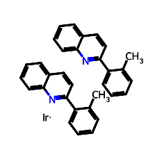 Cc1ccccc1-c1ccc2ccccc2n1.Cc1ccccc1-c1ccc2ccccc2n1.[Ir]